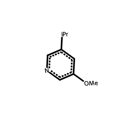 COc1cncc(C(C)C)c1